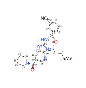 CSCCCn1c(NC(=O)c2cccc(C#N)c2)nc2cc(C(=O)N3CCCCC3)cnc21